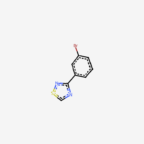 Brc1cccc(-c2ncsn2)c1